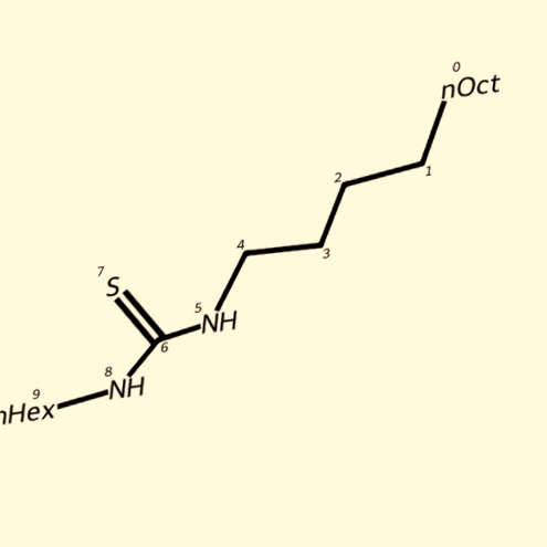 CCCCCCCCCCCCNC(=S)NCCCCCC